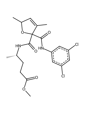 COC(=O)CC[C@H](C)NC(=O)C1(C(=O)Nc2cc(Cl)cc(Cl)c2)OC(C)C=C1C